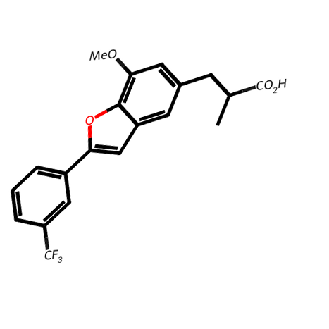 COc1cc(CC(C)C(=O)O)cc2cc(-c3cccc(C(F)(F)F)c3)oc12